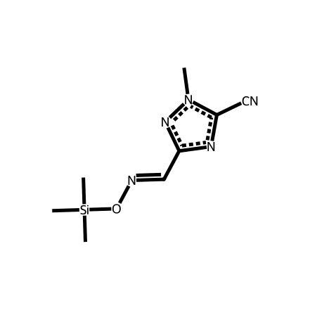 Cn1nc(C=NO[Si](C)(C)C)nc1C#N